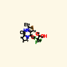 CCC1N[C@H](C(=O)N2CCC[C@H]2C#N)CS1.O=C(O)C(F)(F)F